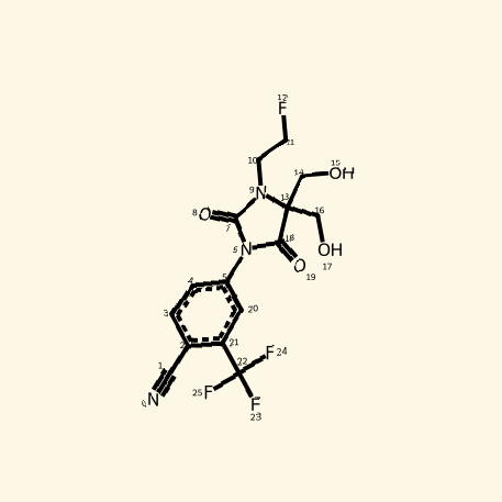 N#Cc1ccc(N2C(=O)N(CCF)C(CO)(CO)C2=O)cc1C(F)(F)F